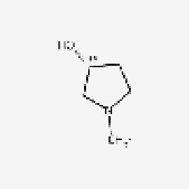 [CH2]N1CC[C@@H](O)C1